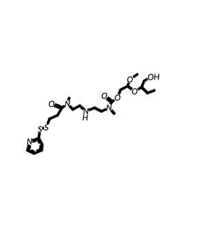 CCC(CO)OC(COC(=O)N(C)CCNCCN(C)C(=O)CCSSc1ccccn1)OC